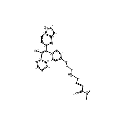 CC/C(=C(/c1ccc(OCCNC/C=C/C(=O)N(C)C)cc1)c1ccc2[nH]ncc2n1)c1ccccc1